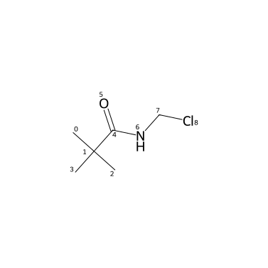 CC(C)(C)C(=O)NCCl